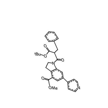 COC(=O)c1cc(-c2ccncc2)cc2c1CCN2C(=O)C(Cc1ccccc1)C(=O)OC(C)(C)C